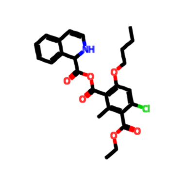 CCCCOc1cc(Cl)c(C(=O)OCC)c(C)c1C(=O)OC(=O)C1NC=Cc2ccccc21